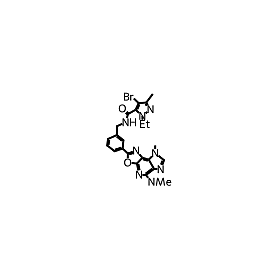 CCn1nc(C)c(Br)c1C(=O)NCc1cccc(-c2nc3c(nc(NC)c4ncn(C)c43)o2)c1